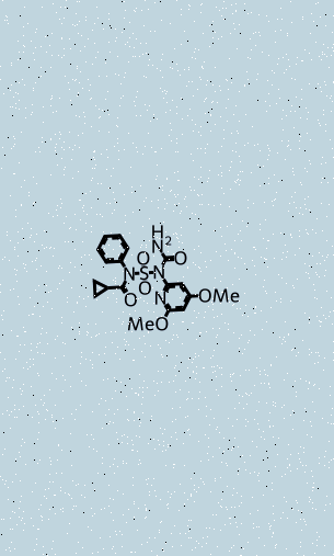 COc1cc(OC)nc(N(C(N)=O)S(=O)(=O)N(C(=O)C2CC2)c2ccccc2)c1